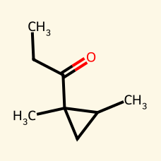 CCC(=O)C1(C)CC1C